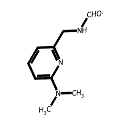 CN(C)c1cccc(CN[C]=O)n1